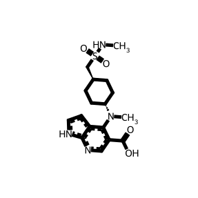 CNS(=O)(=O)C[C@H]1CC[C@H](N(C)c2c(C(=O)O)cnc3[nH]ccc23)CC1